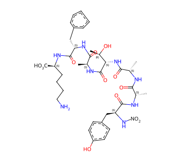 C[C@H](NC(=O)[C@H](C)NC(=O)[C@H](Cc1ccc(O)cc1)N[N+](=O)[O-])C(=O)N[C@H](C(=O)N[C@@H](C)C(=O)N[C@@H](Cc1ccccc1)C(=O)N[C@@H](CCCCN)C(=O)O)[C@@H](C)O